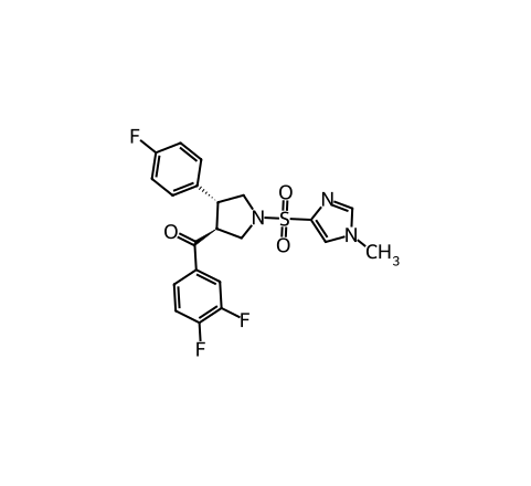 Cn1cnc(S(=O)(=O)N2C[C@@H](C(=O)c3ccc(F)c(F)c3)[C@H](c3ccc(F)cc3)C2)c1